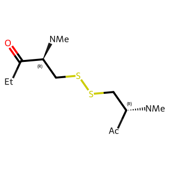 CCC(=O)[C@H](CSSC[C@H](NC)C(C)=O)NC